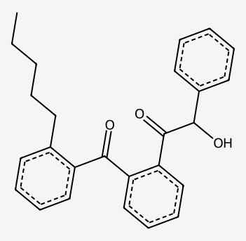 CCCCCc1ccccc1C(=O)c1ccccc1C(=O)C(O)c1ccccc1